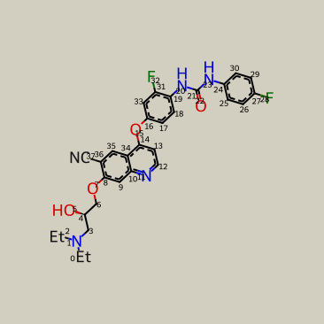 CCN(CC)C[C@@H](O)COc1cc2nccc(Oc3ccc(NC(=O)Nc4ccc(F)cc4)c(F)c3)c2cc1C#N